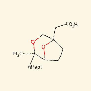 CCCCCCCC1(C)OCC2(CC(=O)O)CCC1O2